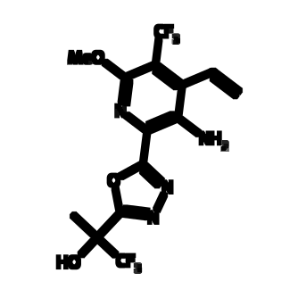 C=Cc1c(N)c(-c2nnc(C(C)(O)C(F)(F)F)o2)nc(OC)c1C(F)(F)F